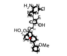 COc1ncccc1-c1ccc(C[C@](OC[C@H]2O[C@@H](n3cnc4c(N)nc(Cl)nc43)[C@@H](F)[C@@H]2O)(C(=O)O)c2cscn2)cc1